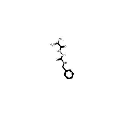 C[C@H](N)C(=O)NNC(=O)NCc1ccccc1